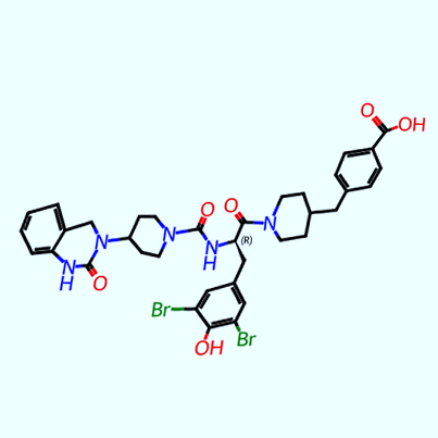 O=C(O)c1ccc(CC2CCN(C(=O)[C@@H](Cc3cc(Br)c(O)c(Br)c3)NC(=O)N3CCC(N4Cc5ccccc5NC4=O)CC3)CC2)cc1